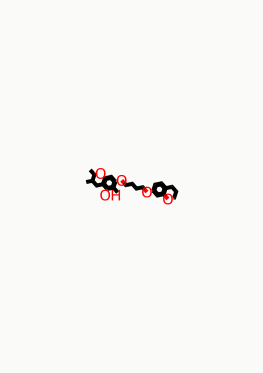 CC(=O)C(C)Cc1ccc(OCCCCOc2ccc3c(c2)OCCC3)c(C)c1O